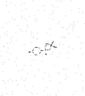 CCC(CC)(CP(=O)(O)O)N1CCC(=O)CC1